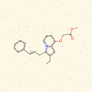 CCc1cc2c(OCC(=O)OC)cccn2c1C/C=C/c1ccccc1